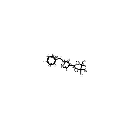 CC1(C)OC(c2cnn(Cc3ccccc3)c2)OC1(C)C